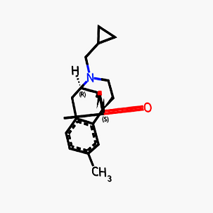 Cc1ccc2c(c1)[C@]13CCN(CC4CC4)[C@H](C2)C1C=CC(=O)C3